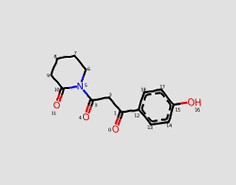 O=C(CC(=O)N1CCCCC1=O)c1ccc(O)cc1